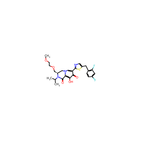 COCCOC[C@H]1Cn2cc(-c3ncc(Cc4ccc(F)cc4F)s3)c(=O)c(O)c2C(=O)N1C(C)C